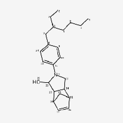 CCCCC(CC)Cc1ccc(N2CC3C4C=CC(C4)C3C2O)cc1